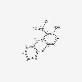 O=[N+]([O-])c1c(O)ccc(Br)c1Oc1ccccc1